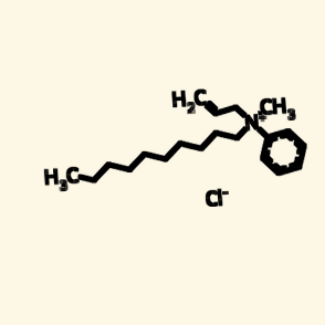 C=CC[N+](C)(CCCCCCCCCC)c1ccccc1.[Cl-]